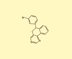 Brc1cccc(C2Cc3cn[c]nc3-c3ccccc32)c1